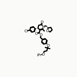 CC1=C(C(=O)OCc2ccc(OC(C)(C)CCOC(C)C)cc2)[C@H](c2ccc(Cl)cc2)CC(=O)N1C[C@H]1CCCO1